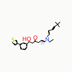 CCN(/C=C/CC(=O)CC(O)c1cccc(-c2ccsc2)c1)CC=CC#CC(C)(C)C